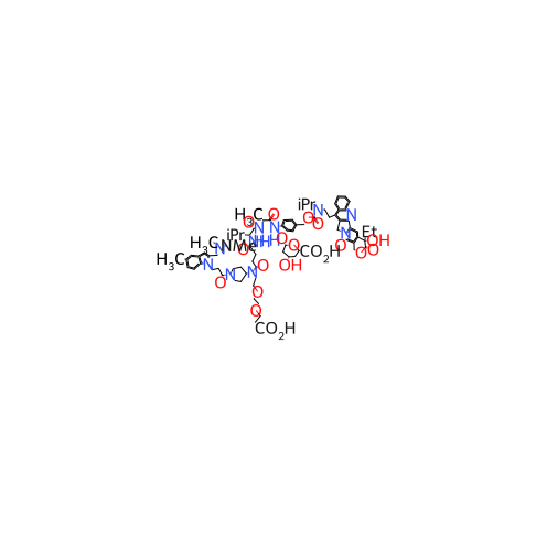 CC[C@@]1(O)C(=O)OCc2c1cc1n(c2=O)Cc2c-1nc1ccccc1c2CCN(C(=O)OCc1ccc(NC(=O)[C@H](C)NC(=O)C(NC(=O)CCC(=O)N(CCOCCOCCC(=O)O)C2CCN(C(=O)CCn3c(CN(C)NC)cc4cc(C)ccc43)CC2)C(C)C)c(O[C@H]2C[C@@H](O)C[C@@H](C(=O)O)O2)c1)C(C)C